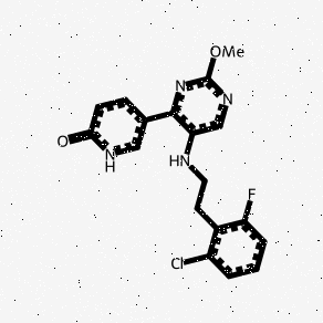 COc1ncc(NCCc2c(F)cccc2Cl)c(-c2ccc(=O)[nH]c2)n1